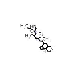 C=CCO/C(C=N)=C\C(C)/C=C(\C)CC(C)C1CC2=C(CCNC2)[C@@H]2C=CC12